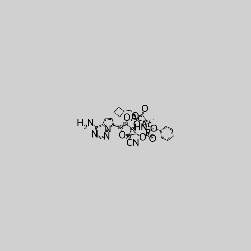 CC(=O)O[C@H]1[C@H](c2ccc3c(N)ncnn23)O[C@]2(C#N)C(O[P@](=O)(N[C@@H](C)C(=O)OCC3CCC3)Oc3ccccc3)[C@]12OC(C)=O